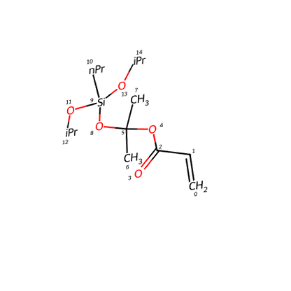 C=CC(=O)OC(C)(C)O[Si](CCC)(OC(C)C)OC(C)C